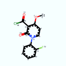 CCOc1ccn(-c2ccccc2F)c(=O)c1C(=O)Cl